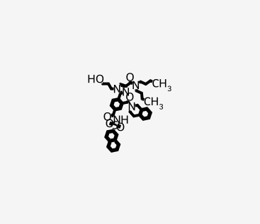 CCCCN(CCCC)C(=O)c1cn(CCCO)c(-c2ccc(C(=O)NS(=O)(=O)c3ccc4ccccc4c3)cc2C(=O)N2CCc3ccccc3C2)n1